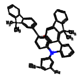 CC(C)(C)c1cc(N(c2ccc(-c3ccc4c(c3)C(C)(C)c3ccccc3-4)cc2)c2ccccc2-c2cccc3c2C(C)(C)c2ccccc2-3)cc(C(C)(C)C)c1